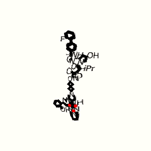 CC(C)[C@@H](C(=O)N1C[C@H](O)C[C@H]1C1=NO[C@@](C)(c2ccc(-c3ccccc3F)cc2)N1)c1onc(O[C@H]2CC3(C2)C[C@H](N2CCC(c4cnc(N5C6CCC5CN(c5c[nH]c7nnc(-c8ccccc8O)cc57)C6)nc4)CC2)C3)c1Cl